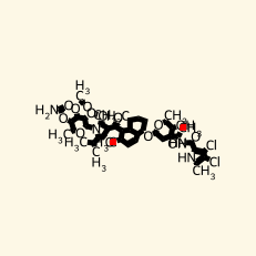 C=C1CCC(OC2CC(O)(C(C)NC(=O)c3[nH]c(C)c(Cl)c3Cl)C(O)C(C)O2)C2C=CC(C)C(C(=O)C3C(=O)C(C(C)C)N(C4OC(C)C(OC(N)=O)C(OC(C)=O)C4OC)C3=O)C12